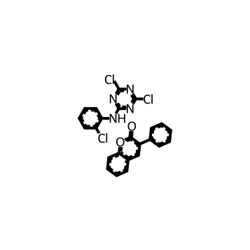 Clc1nc(Cl)nc(Nc2ccccc2Cl)n1.O=c1oc2ccccc2cc1-c1ccccc1